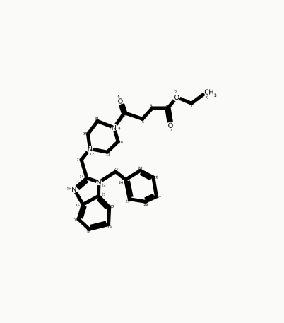 CCOC(=O)CCC(=O)N1CCN(Cc2nc3ccccc3n2Cc2ccccc2)CC1